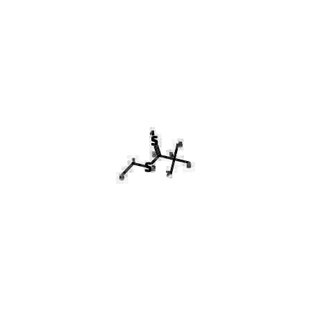 CCSC(=S)C(C)(C)C